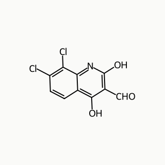 O=Cc1c(O)nc2c(Cl)c(Cl)ccc2c1O